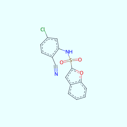 N#Cc1ccc(Cl)cc1NS(=O)(=O)c1cc2ccccc2o1